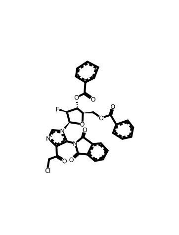 O=C(OC[C@H]1O[C@@H](n2cnc(C(=O)CCl)c2N2C(=O)c3ccccc3C2=O)[C@@H](F)[C@@H]1OC(=O)c1ccccc1)c1ccccc1